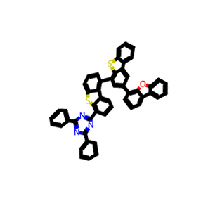 c1ccc(-c2nc(-c3ccccc3)nc(-c3cccc4c3sc3cccc(-c5cc(-c6cccc7c6oc6ccccc67)cc6c5sc5ccccc56)c34)n2)cc1